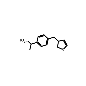 CC(C(=O)O)c1ccc(CC2C=CSC2)cc1